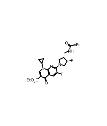 CCCC(=O)NC[C@H]1CN(c2nc3c(cc2F)c(=O)c(C(=O)OCC)cn3C2CC2)C[C@@H]1F